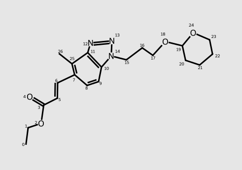 CCOC(=O)/C=C/c1ccc2c(nnn2CCCOC2CCCCO2)c1C